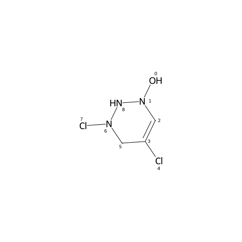 ON1C=C(Cl)CN(Cl)N1